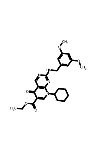 CCOC(=O)c1cn(C2CCCCC2)c2nc(NCc3cc(OC)cc(OC)c3)ncc2c1=O